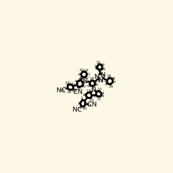 N#Cc1ccc(-c2ccc3c(c2)c2ccccc2n3-c2cc(-c3nc(-c4ccccc4)nc(-c4ccccc4)n3)cc(-n3c4ccccc4c4cc(-c5ccc(C#N)cc5C#N)ccc43)c2)c(C#N)c1